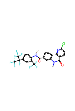 CN(C(=O)c1ccc(Cl)nc1)c1cccc(C(=O)N(Br)c2ccc(C(F)(C(F)(F)F)C(F)(F)F)cc2C(F)(F)F)c1